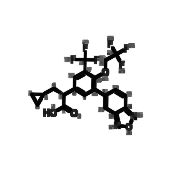 O=C(O)[C@@H](CC1CC1)c1cc(-c2ccc3nonc3c2)c(OCC(F)(F)F)c(C(F)(F)F)c1